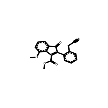 COC(=O)C1=C(c2ccccc2CC#N)C(=O)c2cccc(OC)c21